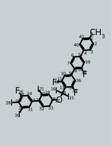 Cc1ccc(-c2ccc(-c3cc(F)c(C(I)(I)OC4C=C(I)C(c5cc(F)c(I)c(I)c5)=CC4)c(F)c3)c(F)c2)cc1